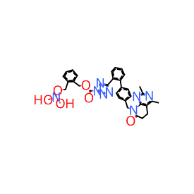 Cc1nc(C)c2c(n1)N(Cc1ccc(-c3ccccc3-c3nnn(C(=O)OCc4ccccc4CON(O)O)n3)cc1)C(=O)CC2